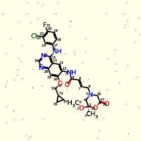 CO[C@@]1(C)CN(CC=CC(=O)Nc2cc3c(Nc4ccc(F)c(Cl)c4)ncnc3cc2OCC2CC2)CC(=O)O1